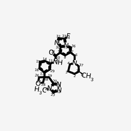 C[C@H]1CCCN(Cc2cc(C(=O)Nc3cccc(C4(Cc5nncn5C)COC4)c3)c3ncc(F)n3c2)C1